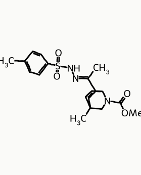 COC(=O)N1CC2(C)C=CC1C(C(C)=NNS(=O)(=O)c1ccc(C)cc1)C2